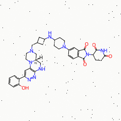 O=C1CCC(N2C(=O)c3ccc(N4CCC(NC5CC(CN6CCN7c8cc(-c9ccccc9O)nnc8NC[C@H]7C6)C5)CC4)cc3C2=O)C(=O)N1